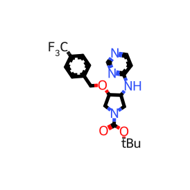 CC(C)(C)OC(=O)N1CC(Nc2ccncn2)C(OCc2ccc(C(F)(F)F)cc2)C1